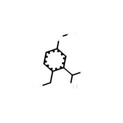 CCc1ccc(OC)cc1C(C)C